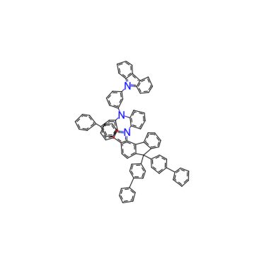 c1ccc(-c2ccc(C3(c4ccc(-c5ccccc5)cc4)c4ccccc4-c4c3ccc3c5ccccc5n(-c5ccccc5N(c5cccc(-c6ccccc6)c5)c5cccc(-n6c7ccccc7c7ccccc76)c5)c43)cc2)cc1